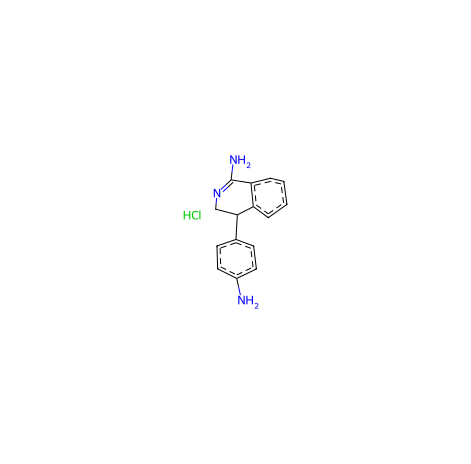 Cl.NC1=NCC(c2ccc(N)cc2)c2ccccc21